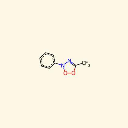 FC(F)(F)C1=NN(c2cc[c]cc2)OO1